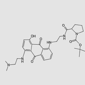 CN(C)CCNc1ccc(O)c2c1C(=O)c1cccc(NCCNC(=O)C3CCCN3C(=O)OC(C)(C)C)c1C2=O